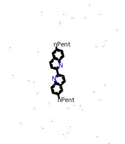 CCCCCc1ccc2nc(-c3ccc4cc(CCCCC)ccc4n3)ccc2c1